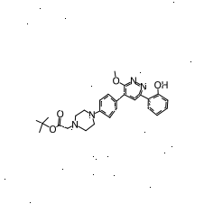 COc1nnc(-c2ccccc2O)cc1-c1ccc(N2CCN(CC(=O)OC(C)(C)C)CC2)cc1